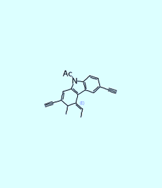 C#CC1=Cc2c(c3cc(C#C)ccc3n2C(C)=O)/C(=C/C)C1C